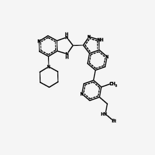 CCNCc1cncc(-c2cnc3[nH]nc(C4Nc5cncc(N6CCCCC6)c5N4)c3c2)c1C